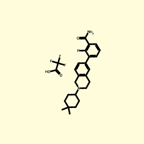 CC1(C)CCC(N2CCc3cc(-c4cccc(C(N)=O)c4F)ccc3C2)CC1.O=C(O)C(F)(F)F